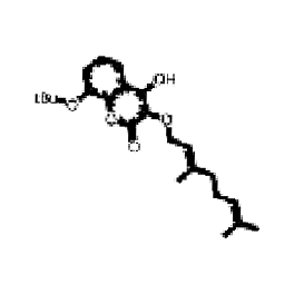 CC(C)=CCC/C(C)=C/COc1c(O)c2cccc(OC(C)(C)C)c2oc1=O